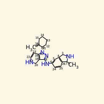 CC1NCc2cc(Nc3nn([C@H]4CCCC[C@@H]4C)c4c3CNC=C4)ccc21